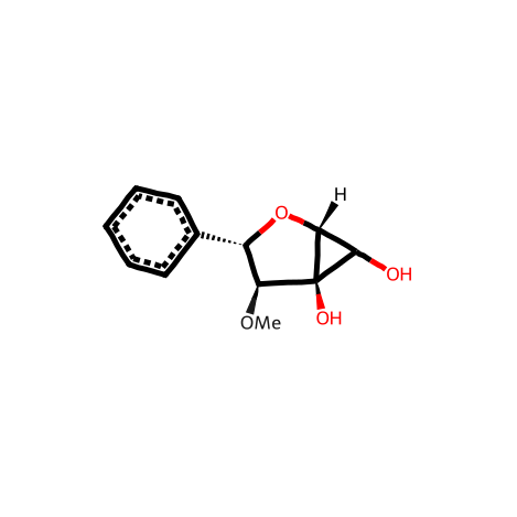 CO[C@H]1[C@H](c2ccccc2)O[C@@H]2C(O)[C@@]21O